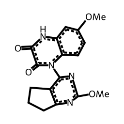 COc1ccc2c(c1)[nH]c(=O)c(=O)n2-c1nc(OC)nc2c1CCC2